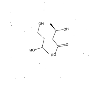 CC(O)CCO.C[C@@H](O)CC(=O)O